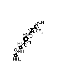 Cn1c(-c2cn(CC#N)nc2C(F)(F)F)cnc1C(=O)Nc1ccc(C(=O)N[C@H]2C[C@@H](NC(=O)[C@H]3C[C@H](N)C3)C2)c(Cl)c1